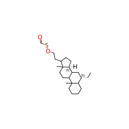 CC[C@H]1CC2C(CCC3(C)C(CCOSC=O)CC[C@@H]23)C2(C)CCCCC12